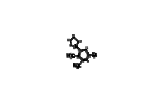 CCc1cc(C)c(C)c(N2CCCC2)c1